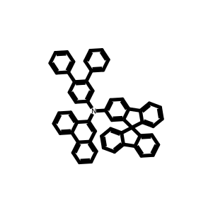 c1ccc(-c2ccc(N(c3ccc4c(c3)C3(c5ccccc5-c5ccccc53)c3ccccc3-4)c3cc4ccccc4c4ccccc34)cc2-c2ccccc2)cc1